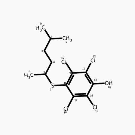 CC(C)CCC(C)Sc1c(Cl)c(Cl)c(O)c(Cl)c1Cl